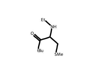 CCNC(CSC)C(=O)C(C)(C)C